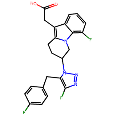 O=C(O)Cc1c2n(c3c(F)cccc13)CC(n1nnc(F)c1Cc1ccc(F)cc1)CC2